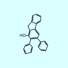 Oc1c2c(cc(-c3ccccc3)c1-c1ccccc1)-c1ccccc1C2